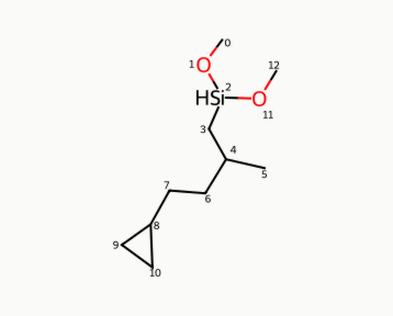 CO[SiH](CC(C)CCC1CC1)OC